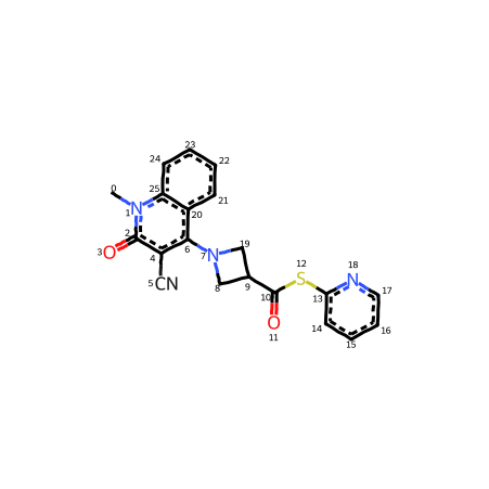 Cn1c(=O)c(C#N)c(N2CC(C(=O)Sc3ccccn3)C2)c2ccccc21